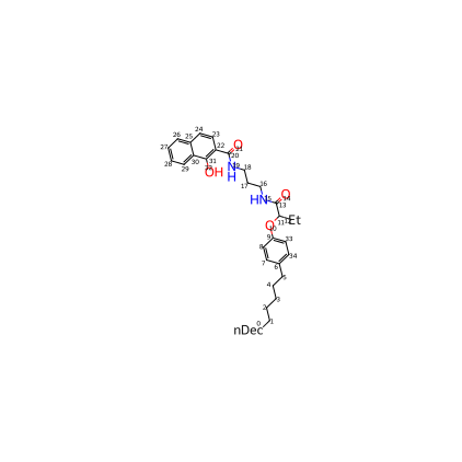 CCCCCCCCCCCCCCCc1ccc(OC(CC)C(=O)NCCCNC(=O)c2ccc3ccccc3c2O)cc1